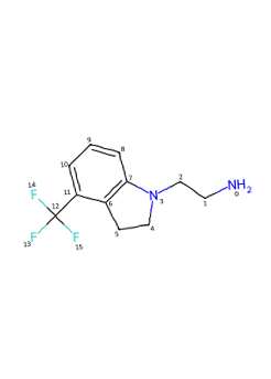 NCCN1CCc2c1cccc2C(F)(F)F